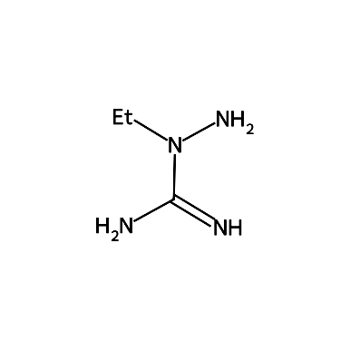 CCN(N)C(=N)N